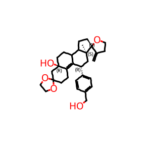 C=C1CCO[C@]12CCC1C3CC[C@@]4(O)CC5(CCC4=C3[C@@H](c3ccc(CO)cc3)C[C@@]12C)OCCO5